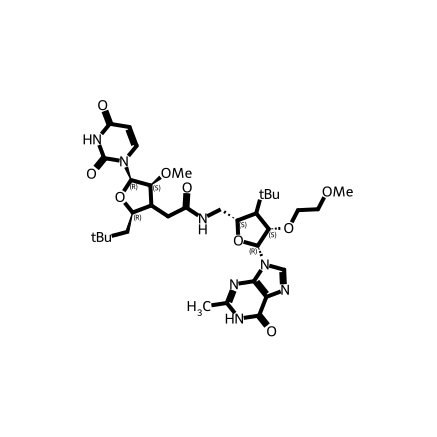 COCCO[C@H]1C(C(C)(C)C)[C@@H](CNC(=O)CC2[C@@H](CC(C)(C)C)O[C@@H](n3ccc(=O)[nH]c3=O)[C@H]2OC)O[C@H]1n1cnc2c(=O)[nH]c(C)nc21